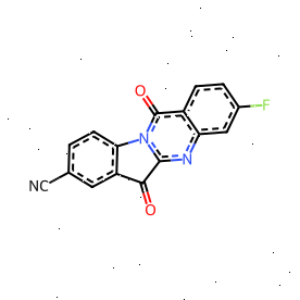 N#Cc1ccc2c(c1)C(=O)c1nc3cc(F)ccc3c(=O)n1-2